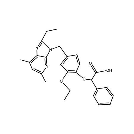 CCOc1cc(Cn2c(CC)nc3c(C)cc(C)nc32)ccc1OC(C(=O)O)c1ccccc1